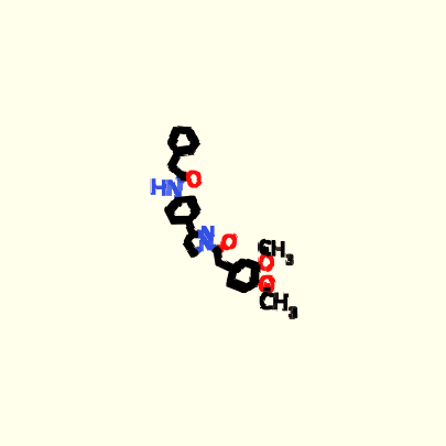 COc1ccc(CC(=O)N2CCC(c3ccc(NC(=O)Cc4ccccc4)cc3)=N2)cc1OC